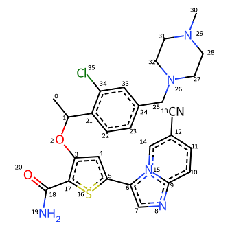 CC(Oc1cc(-c2cnc3ccc(C#N)cn23)sc1C(N)=O)c1ccc(CN2CCN(C)CC2)cc1Cl